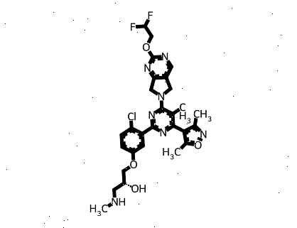 CNC[C@@H](O)COc1ccc(Cl)c(-c2nc(-c3c(C)noc3C)c(C)c(N3Cc4cnc(OCC(F)F)nc4C3)n2)c1